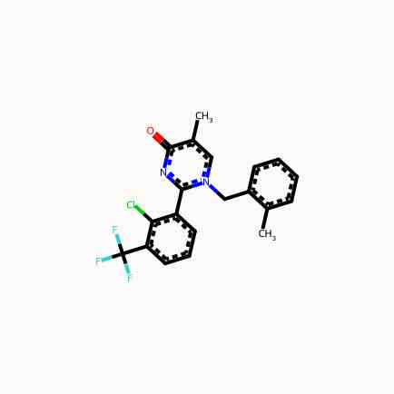 Cc1ccccc1Cn1cc(C)c(=O)nc1-c1cccc(C(F)(F)F)c1Cl